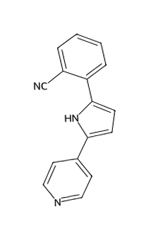 N#Cc1ccccc1-c1ccc(-c2ccncc2)[nH]1